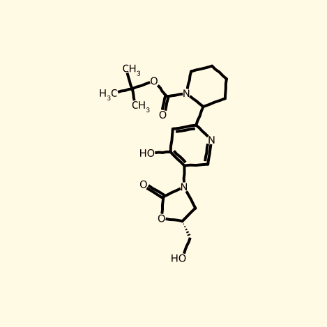 CC(C)(C)OC(=O)N1CCCCC1c1cc(O)c(N2C[C@H](CO)OC2=O)cn1